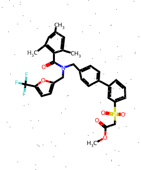 COC(=O)CS(=O)(=O)c1cccc(-c2ccc(CN(Cc3ccc(C(F)(F)F)o3)C(=O)c3c(C)cc(C)cc3C)cc2)c1